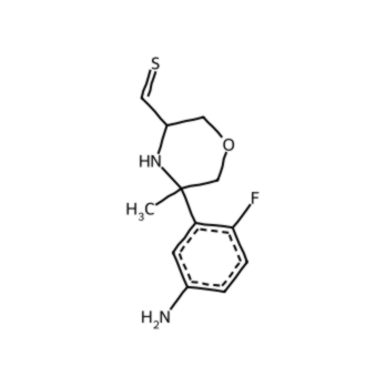 CC1(c2cc(N)ccc2F)COCC(C=S)N1